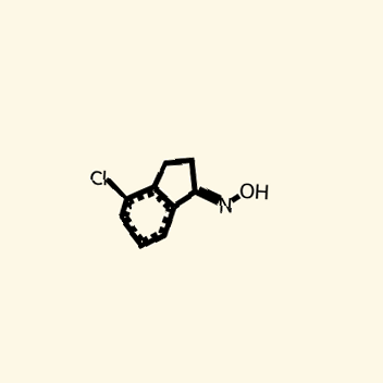 O/N=C1\CCc2c(Cl)cccc21